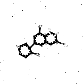 CCc1cc(-c2cnccc2C#N)cc2cc(N)nnc12